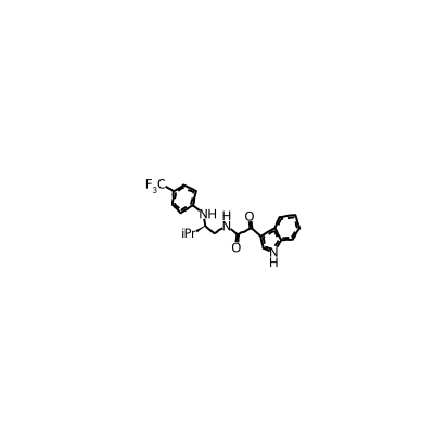 CC(C)[C@H](CNC(=O)C(=O)c1c[nH]c2ccccc12)Nc1ccc(C(F)(F)F)cc1